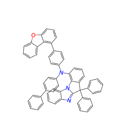 c1ccc(-c2ccc(N(c3ccc(-c4cccc5oc6ccccc6c45)cc3)c3cccc4c3-n3c(nc5ccccc53)C4(c3ccccc3)c3ccccc3)cc2)cc1